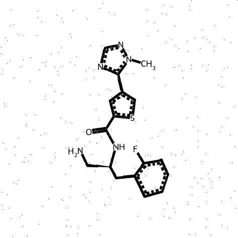 Cn1ncnc1-c1csc(C(=O)N[C@H](CN)Cc2ccccc2F)c1